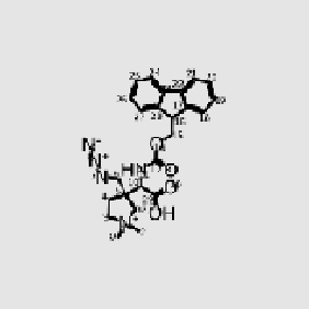 C[N+]1(C)CC[C@](CN=[N+]=[N-])([C@H](NC(=O)OCC2c3ccccc3-c3ccccc32)C(=O)O)C1